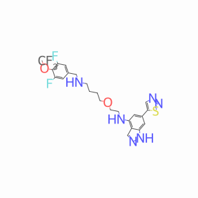 Fc1cc(CNCCCCOCCNc2cc(-c3cnns3)cc3[nH]ncc23)cc(F)c1OC(F)(F)F